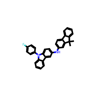 CC1(C)c2ccccc2-c2ccc(Nc3ccc4c(c3)c3ccccc3n4-c3ccc(F)cc3)cc21